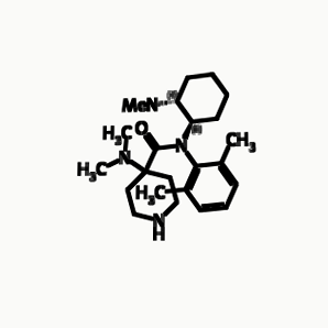 CN[C@@H]1CCCC[C@H]1N(C(=O)C1(N(C)C)CCNCC1)c1c(C)cccc1C